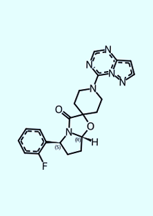 O=C1N2[C@@H](CC[C@H]2c2ccccc2F)OC12CCN(c1ncnc3ccnn13)CC2